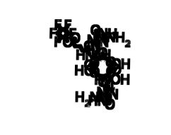 Nc1nc2c(ncn2[C@@H]2O[C@@H]3COP(=O)(O)OC4C(NC(=O)CCCC(=O)Oc5c(F)c(F)c(F)c(F)c5F)[C@H](n5cnc6c(=O)[nH]c(N)nc65)O[C@@H]4COP(=O)(O)OC3C2O)c(=O)[nH]1